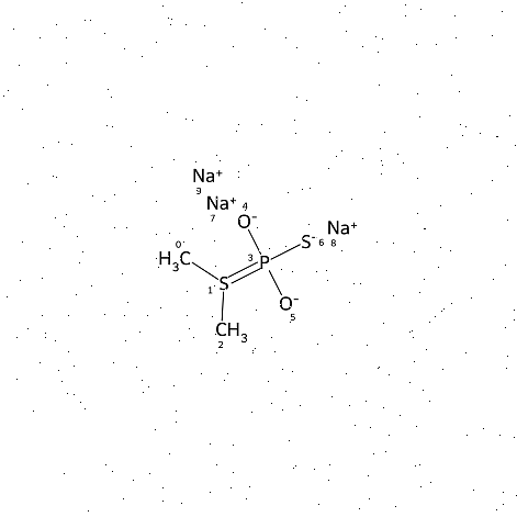 CS(C)=P([O-])([O-])[S-].[Na+].[Na+].[Na+]